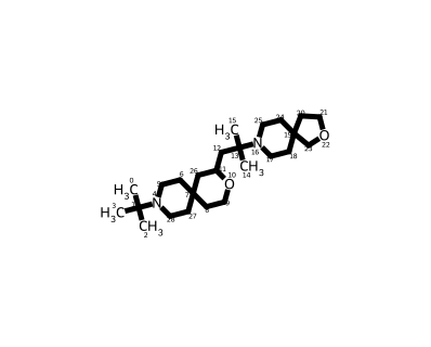 CC(C)(C)N1CCC2(CCOC(CC(C)(C)N3CCC4(CCOC4)CC3)C2)CC1